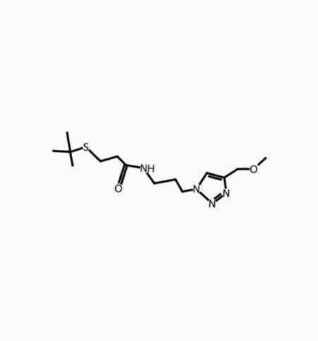 COCc1cn(CCCNC(=O)CCSC(C)(C)C)nn1